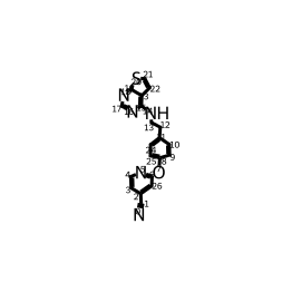 N#Cc1ccnc(Oc2ccc(CCNc3ncnc4sccc34)cc2)c1